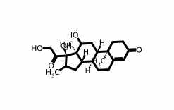 CC1C[C@H]2[C@@H]3CCC4=CC(=O)CC[C@]4(C)[C@H]3CC(O)[C@]2(C)[C@@]1(O)C(=O)CO